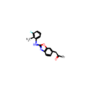 Cc1c(F)cccc1Nc1nc2ccc(CC(=O)C(C)C)cc2o1